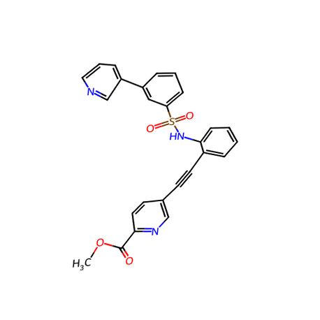 COC(=O)c1ccc(C#Cc2ccccc2NS(=O)(=O)c2cccc(-c3cccnc3)c2)cn1